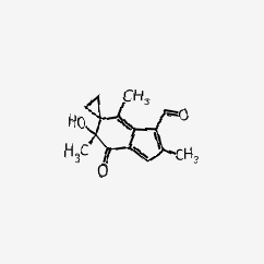 CC1=C(C=O)C2=C(C)C3(CC3)[C@@](C)(O)C(=O)C2=C1